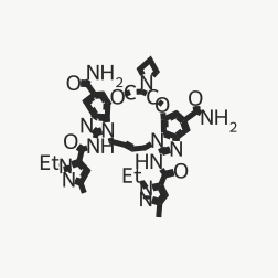 CCn1nc(C)cc1C(=O)Nc1nc2cc(C(N)=O)cc3c2n1C/C=C/Cn1c(NC(=O)c2cc(C)nn2CC)nc2cc(C(N)=O)cc(c21)OCC(N1CCC1)CO3